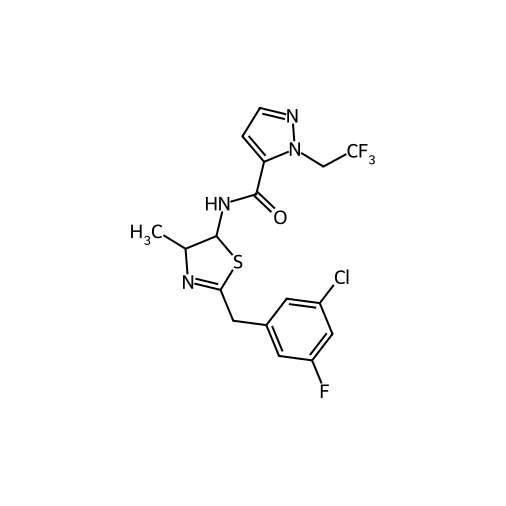 CC1N=C(Cc2cc(F)cc(Cl)c2)SC1NC(=O)c1ccnn1CC(F)(F)F